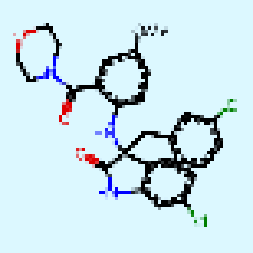 COc1ccc(NC2(Cc3cccc(Cl)c3)C(=O)Nc3cc(Cl)ccc32)c(C(=O)N2CCOCC2)c1